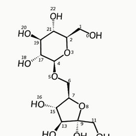 OC[C@H]1O[C@@H](OC[C@H]2O[C@@](O)(CO)[C@@H](O)[C@@H]2O)[C@H](O)[C@@H](O)[C@@H]1O